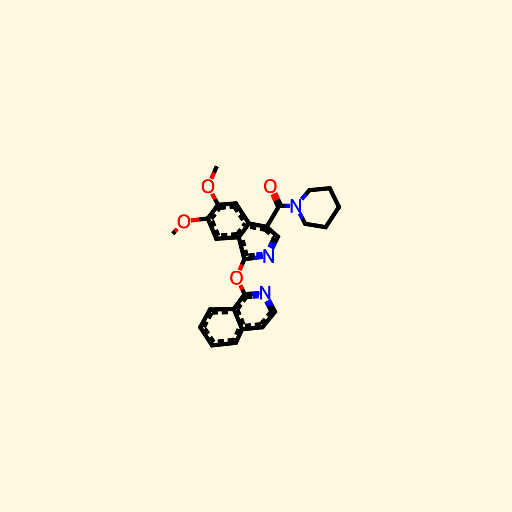 COc1cc2c(C(=O)N3CCCCC3)cnc(Oc3nccc4ccccc34)c2cc1OC